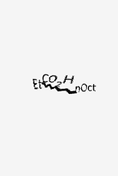 CCCCCCCC/C=C\CCCCCCC(CC)C(=O)O